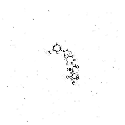 Cc1cccc(C2COC3(CCN(C(=O)Nc4onc(C)c4C)CC3)C2)c1